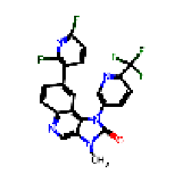 Cn1c(=O)n(-c2ccc(C(F)(F)F)nc2)c2c3cc(-c4ccc(F)nc4F)ccc3ncc21